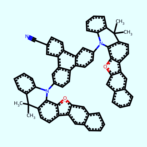 CC1(C)c2ccccc2N(c2ccc3c4ccc(N5c6ccccc6C(C)(C)c6ccc7c(oc8cc9ccccc9cc87)c65)cc4c4cc(C#N)ccc4c3c2)c2c1ccc1c2oc2cc3ccccc3cc21